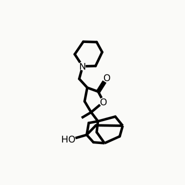 CC1(C23CC4CC(CC(O)(C4)C2)C3)CC(CN2CCCCC2)C(=O)O1